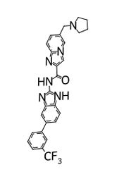 O=C(Nc1nc2cc(-c3cccc(C(F)(F)F)c3)ccc2[nH]1)c1cn2cc(CN3CCCC3)ccc2n1